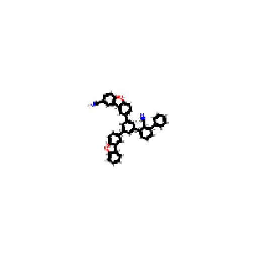 N#Cc1ccc2oc3ccc(-c4cc(-c5ccc6oc7ccccc7c6c5)cc(-c5cccc(-c6ccccc6)c5C#N)c4)cc3c2c1